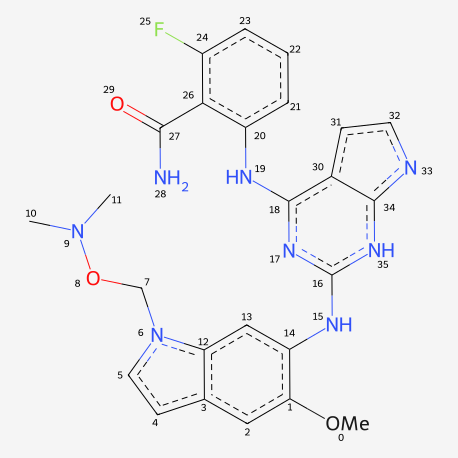 COc1cc2ccn(CON(C)C)c2cc1Nc1nc(Nc2cccc(F)c2C(N)=O)c2ccnc-2[nH]1